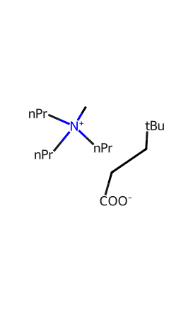 CC(C)(C)CCC(=O)[O-].CCC[N+](C)(CCC)CCC